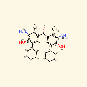 Cc1c(C(=O)c2cc(C3CCCCC3)c(O)c(N)c2C)cc(C2CCCCC2)c(O)c1N